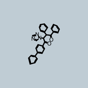 O=C(c1ccccc1)C(c1ccccc1)C(C(=O)c1ccc(-c2ccccc2)cc1)n1cncn1